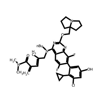 C=C(/C=C(\C)CN(CCCC)c1nc(OCC23CCCN2CCC3)nc2c(F)c(-c3cc(O)cc(Cl)c3C3CC3)c(F)cc12)C(=O)N(C)C